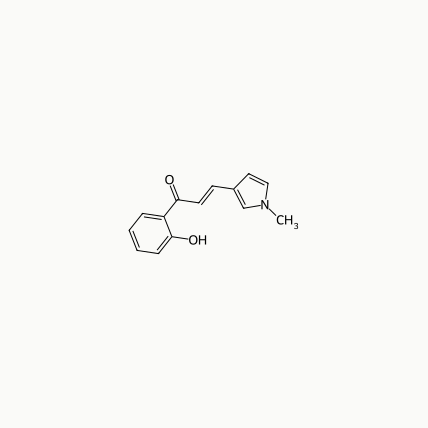 Cn1ccc(C=CC(=O)c2ccccc2O)c1